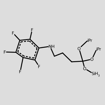 CC(C)OC(CCCNc1c(F)c(F)c(F)c(F)c1F)(O[SiH3])OC(C)C